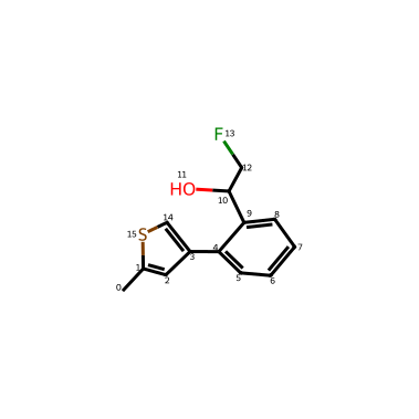 Cc1cc(-c2ccccc2C(O)CF)cs1